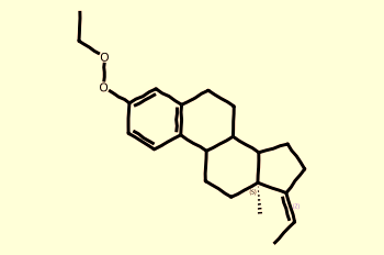 C/C=C1/CCC2C3CCc4cc(OOCC)ccc4C3CC[C@]12C